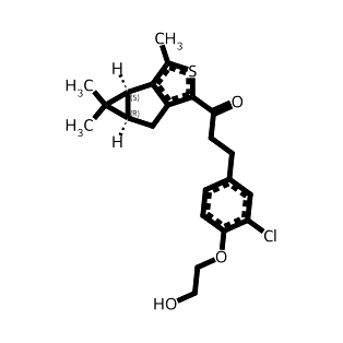 Cc1sc(C(=O)CCc2ccc(OCCO)c(Cl)c2)c2c1[C@H]1[C@@H](C2)C1(C)C